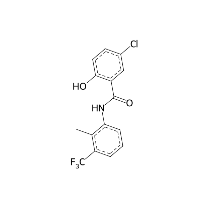 Cc1c(NC(=O)c2cc(Cl)ccc2O)cccc1C(F)(F)F